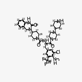 CNc1c(Cl)cc(C[C@@H](NC(=O)N2CCC(N3Cc4ccccc4NC3=O)CC2)C(=O)N2CCN(C3CCNCC3)CC2)cc1C(F)(F)F